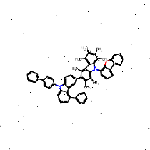 Bc1c(B)c(B)c2c(c1B)c1c(B)c(-c3ccc4c(c3)c3c(-c5ccccc5)cccc3n4-c3ccc(-c4ccccc4)cc3)c(B)c(B)c1n2-c1cccc2c1oc1ccccc12